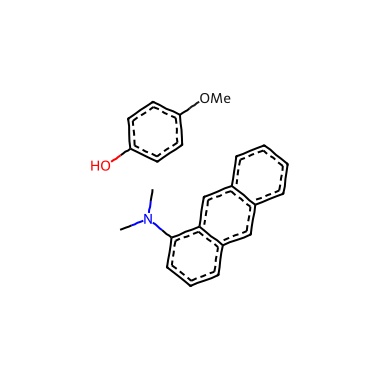 CN(C)c1cccc2cc3ccccc3cc12.COc1ccc(O)cc1